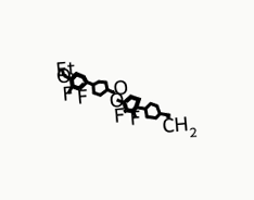 C=CC1CCC(c2ccc(OC(=O)C3CCC(c4ccc(OCC)c(F)c4F)CC3)c(F)c2F)CC1